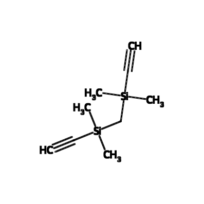 C#C[Si](C)(C)C[Si](C)(C)C#C